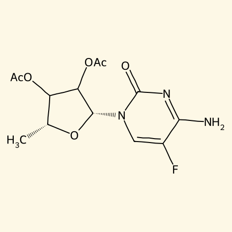 CC(=O)OC1C(OC(C)=O)[C@@H](C)O[C@H]1n1cc(F)c(N)nc1=O